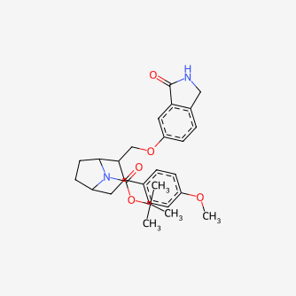 COc1ccc(C2CC3CCC(C2COc2ccc4c(c2)C(=O)NC4)N3C(=O)OC(C)(C)C)cc1